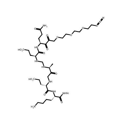 CC(=O)NC(=O)[C@H](CCCCN)NC(=O)[C@H](CCC(=O)O)NCC(=O)[C@H](C)NCN[C@@H](CCC(=O)O)C(=O)N[C@@H](CCC(N)=O)C(=O)C(=O)COCCOCCOCCN=[N+]=[N-]